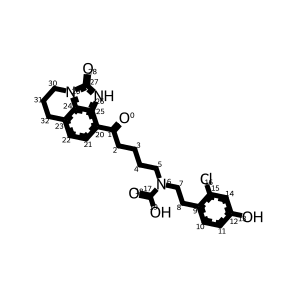 O=C(CCCCN(CCc1ccc(O)cc1Cl)C(=O)O)c1ccc2c3c1[nH]c(=O)n3CCC2